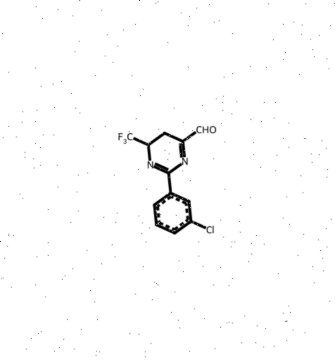 O=CC1=NC(c2cccc(Cl)c2)=NC(C(F)(F)F)C1